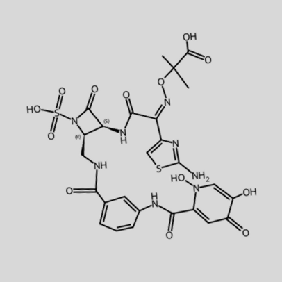 CC(C)(ON=C(C(=O)N[C@@H]1C(=O)N(S(=O)(=O)O)[C@@H]1CNC(=O)c1cccc(NC(=O)c2cc(=O)c(O)cn2O)c1)c1csc(N)n1)C(=O)O